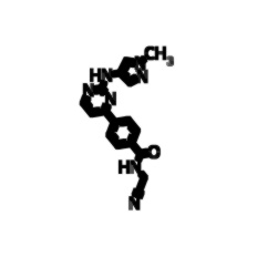 Cn1cc(Nc2nccc(-c3ccc(C(=O)NCC#N)cc3)n2)cn1